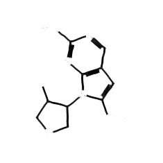 CCC1COCC1n1c(C(=O)O)cc2cnc(SC)nc21